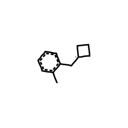 Cc1ccccc1C[C]1CCC1